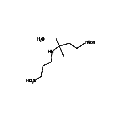 CCCCCCCCCCCC(C)(C)NCCCS(=O)(=O)O.O